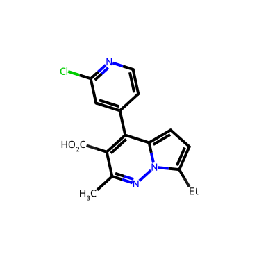 CCc1ccc2c(-c3ccnc(Cl)c3)c(C(=O)O)c(C)nn12